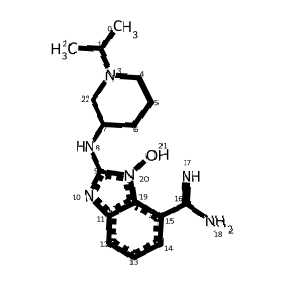 CC(C)N1CCCC(Nc2nc3cccc(C(=N)N)c3n2O)C1